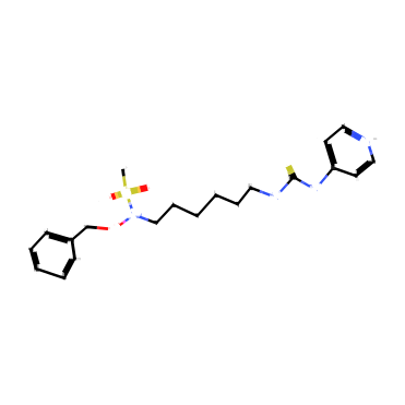 CS(=O)(=O)N(CCCCCCNC(=S)Nc1ccncc1)OCc1ccccc1